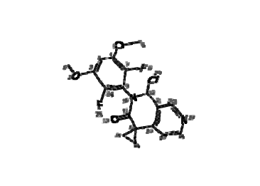 COc1cc(OC)c(F)c(N2C(=O)C3(CC3)c3ccncc3C2Cl)c1F